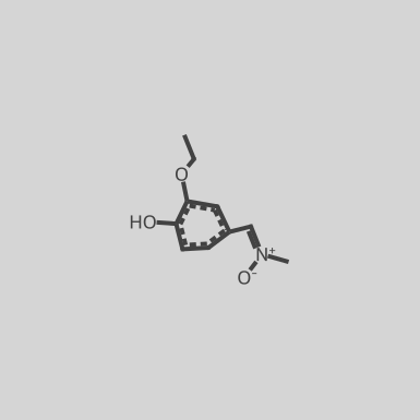 CCOc1cc(C=[N+](C)[O-])ccc1O